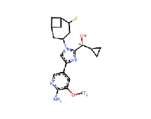 Nc1ncc(-c2cn(C3CC4CC(C4)C(F)C3)c([C@@H](O)C3CC3)n2)cc1OC(F)(F)F